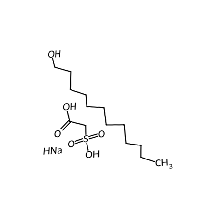 CCCCCCCCCCCCO.O=C(O)CS(=O)(=O)O.[NaH]